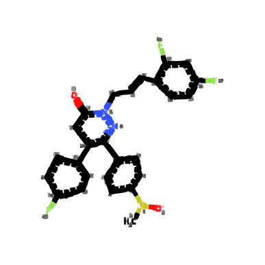 C[S+]([O-])c1ccc(-c2nn(CC=Cc3ccc(F)cc3F)c(=O)cc2-c2ccc(F)cc2)cc1